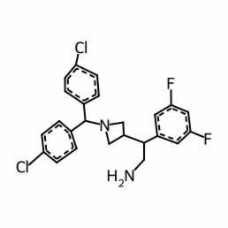 NCC(c1cc(F)cc(F)c1)C1CN(C(c2ccc(Cl)cc2)c2ccc(Cl)cc2)C1